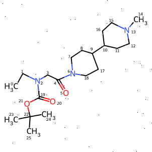 CCN(CC(=O)N1CCC(C2CCN(C)CC2)CC1)C(=O)OC(C)(C)C